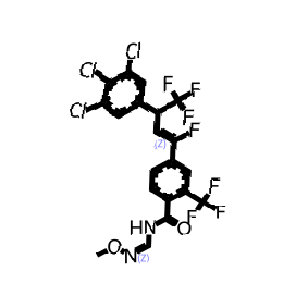 CO/N=C\NC(=O)c1ccc(/C(F)=C/C(c2cc(Cl)c(Cl)c(Cl)c2)C(F)(F)F)cc1C(F)(F)F